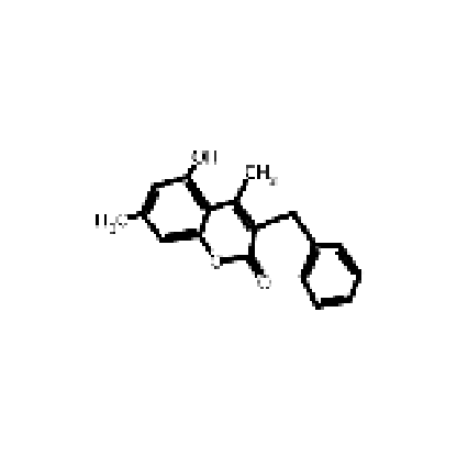 Cc1cc(O)c2c(C)c(Cc3ccccc3)c(=O)oc2c1